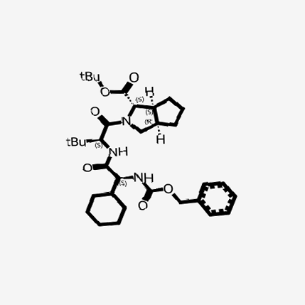 CC(C)(C)OC(=O)[C@@H]1[C@H]2CCC[C@H]2CN1C(=O)[C@@H](NC(=O)[C@@H](NC(=O)OCc1ccccc1)C1CCCCC1)C(C)(C)C